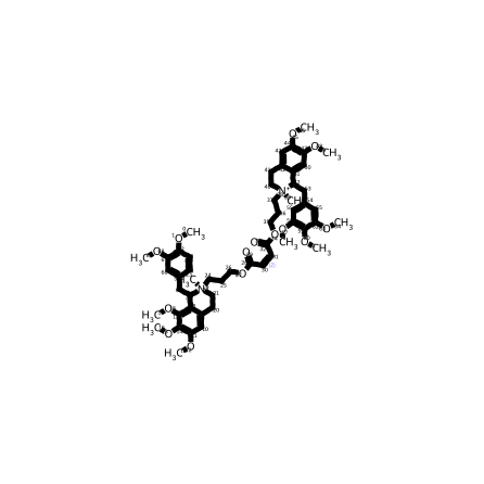 COc1ccc(CC2c3c(cc(OC)c(OC)c3OC)CC[N+]2(C)CCCOC(=O)/C=C\C(=O)OCCC[N+]2(C)CCc3cc(OC)c(OC)cc3C2Cc2cc(OC)c(OC)c(OC)c2)cc1OC